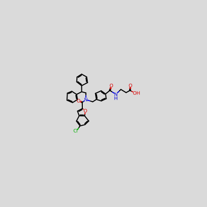 O=C(O)CCNC(=O)c1ccc(CN(CC(c2ccccc2)c2ccccc2)C(=O)c2cc3cc(Cl)ccc3o2)cc1